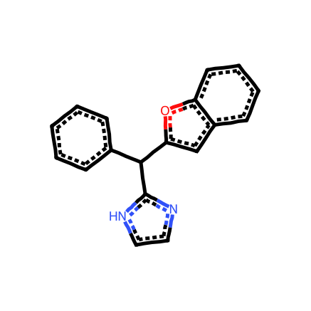 c1ccc(C(c2ncc[nH]2)c2cc3ccccc3o2)cc1